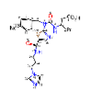 CC(C)C(CC(=O)O)NC(=O)N(Cc1ccc(C#N)cc1)c1ncc(C(=O)NCCCn2ccnc2)s1